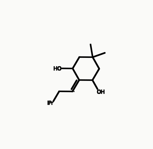 CC(C)C[C]=C1C(O)CC(C)(C)CC1O